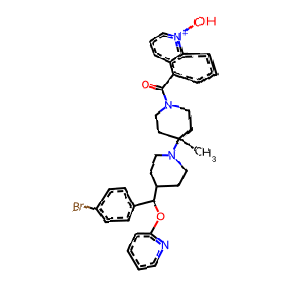 CC1(N2CCC(C(Oc3ccccn3)c3ccc(Br)cc3)CC2)CCN(C(=O)c2cccc3c2ccc[n+]3O)CC1